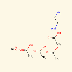 CC(=O)O.CC(=O)O.CC(=O)O.CC(=O)O.NCCN.[Na+].[OH-]